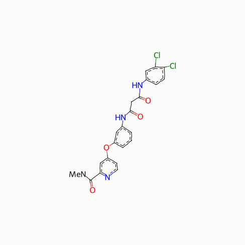 CNC(=O)c1cc(Oc2cccc(NC(=O)CC(=O)Nc3ccc(Cl)c(Cl)c3)c2)ccn1